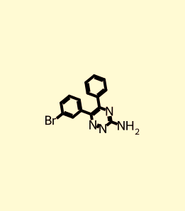 Nc1nnc(-c2cccc(Br)c2)c(-c2ccccc2)n1